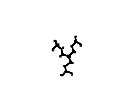 CC(C)COP(OCC(C)C)OCC(C)C